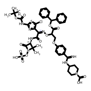 CC(C)(C)OC(=O)Nc1nc(/C(=N/OC(COc2ccc(C(=N)NC3CCN(C(=O)O)CC3)cc2)C(=O)OC(c2ccccc2)c2ccccc2)C(=O)N[C@@H]2C(=O)N(OS(=O)(=O)O)C2(C)C)c(Cl)s1